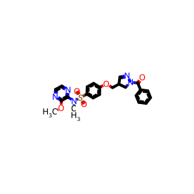 COc1nccnc1N(C)S(=O)(=O)c1ccc(OCC2C=NN(C(=O)c3ccccc3)C2)cc1